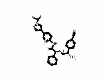 C[C@H](CN[C@H](C(=O)Nc1ccc(-c2cnn(C(F)F)c2)cn1)c1ccccc1)c1ccc(C#N)cc1